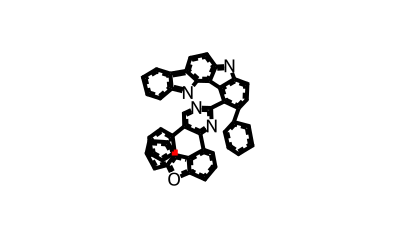 c1ccc(-c2cnc(-c3c(-c4ccccc4)ccc4c3-c3c5c(ccc3=N4)=c3ccccc3=N5)nc2-c2cccc3oc4ccccc4c23)cc1